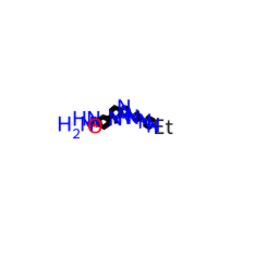 CCN1CCN(C2CN(c3cnc4c(n3)N(C)C(c3ccc5c(c3)NC(N)O5)C=C4)C2)CC1